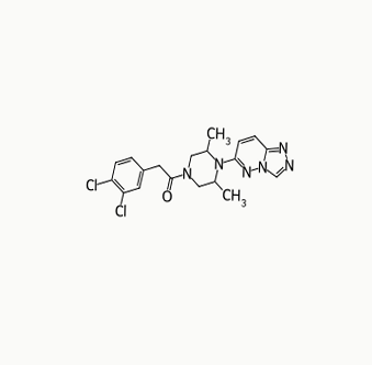 CC1CN(C(=O)Cc2ccc(Cl)c(Cl)c2)CC(C)N1c1ccc2nncn2n1